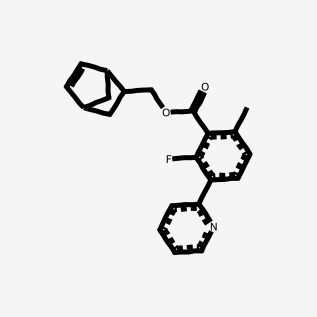 Cc1ccc(-c2ccccn2)c(F)c1C(=O)OCC1CC2C=CC1C2